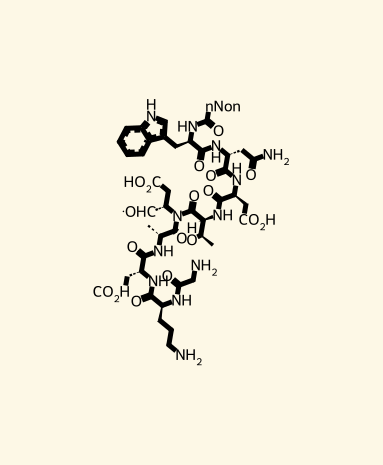 CCCCCCCCCC(=O)N[C@H](Cc1c[nH]c2ccccc12)C(=O)N[C@H](CC(N)=O)C(=O)N[C@@H](CC(=O)O)C(=O)N[C@H](C(=O)N(C(=O)[C@@H](C)NC(=O)[C@@H](CC(=O)O)NC(=O)[C@H](CCCN)NC(=O)CN)[C@H]([C]=O)CC(=O)O)[C@@H](C)O